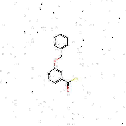 O=C(S)c1cccc(OCc2ccccc2)c1